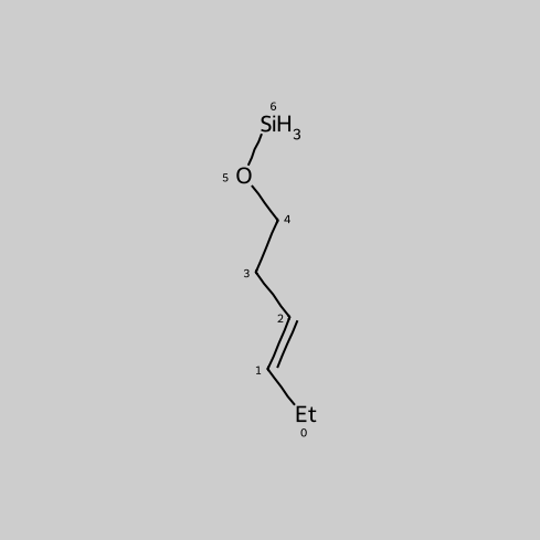 CCC=CCCO[SiH3]